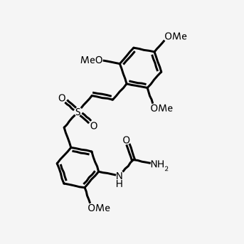 COc1cc(OC)c(/C=C/S(=O)(=O)Cc2ccc(OC)c(NC(N)=O)c2)c(OC)c1